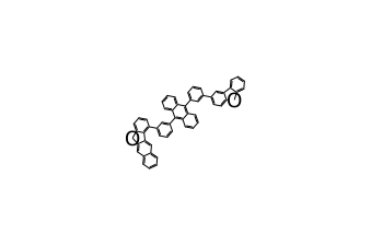 c1cc(-c2ccc3oc4ccccc4c3c2)cc(-c2c3ccccc3c(-c3cccc(-c4cccc5oc6cc7ccccc7cc6c45)c3)c3ccccc23)c1